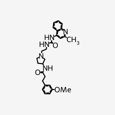 COc1cccc(CCC(=O)NC2CCN(CCNC(=O)Nc3cc(C)nc4ccccc34)C2)c1